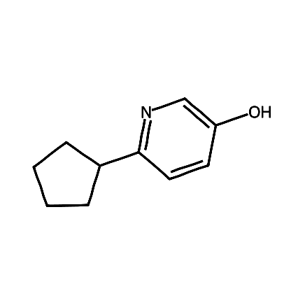 Oc1ccc(C2CCCC2)nc1